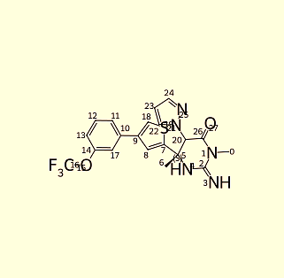 CN1C(=N)N[C@](C)(c2cc(-c3cccc(OC(F)(F)F)c3)cs2)C(n2cccn2)C1=O